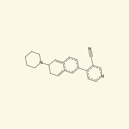 N#Cc1cnccc1-c1ccc2c(c1)=CCC(N1CCCCC1)C=2